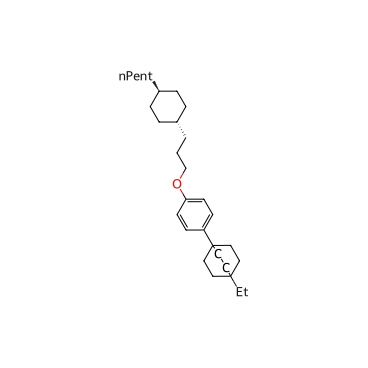 CCCCC[C@H]1CC[C@H](CCCOc2ccc(C34CCC(CC)(CC3)CC4)cc2)CC1